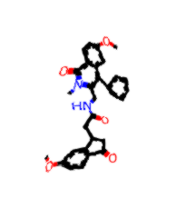 COc1ccc2c(c1)C(CC(=O)NCc1c(-c3ccccc3)c3cc(OC)ccc3c(=O)n1C)CC2=O